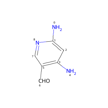 Nc1cc(N)c(C=O)cn1